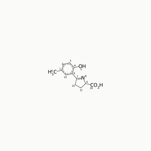 Cc1ccc(O)c(C2=NC(C(=O)O)CC2)c1